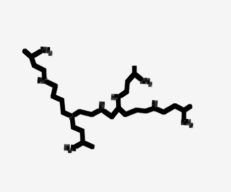 CC(N)CCNCCCCN(CCNCC(CCCNCCC(C)N)NCCC(C)N)CCC(C)N